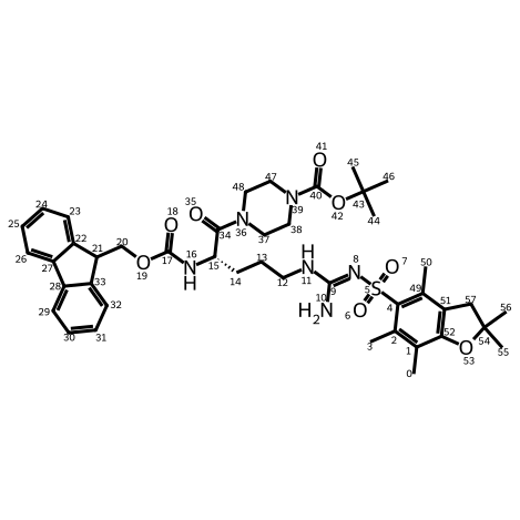 Cc1c(C)c(S(=O)(=O)/N=C(\N)NCCC[C@H](NC(=O)OCC2c3ccccc3-c3ccccc32)C(=O)N2CCN(C(=O)OC(C)(C)C)CC2)c(C)c2c1OC(C)(C)C2